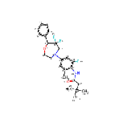 Cc1cc(N2CCOC(c3ccccc3)C(F)(F)C2)cc(F)c1NC(=O)CC(C)(C)C